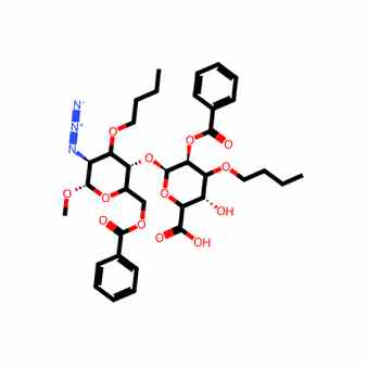 CCCCOC1[C@H](O[C@@H]2OC(C(=O)O)[C@@H](O)C(OCCCC)[C@@H]2OC(=O)c2ccccc2)C(COC(=O)c2ccccc2)O[C@H](OC)[C@H]1N=[N+]=[N-]